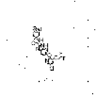 CC1(NC(=O)c2nc3ccc(Oc4ncc(Cl)cc4OCC(F)F)nc3[nH]2)CCS(=O)(=O)CC1